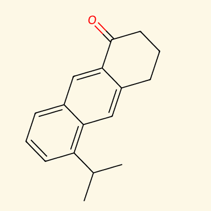 CC(C)c1cccc2cc3c(cc12)CCCC3=O